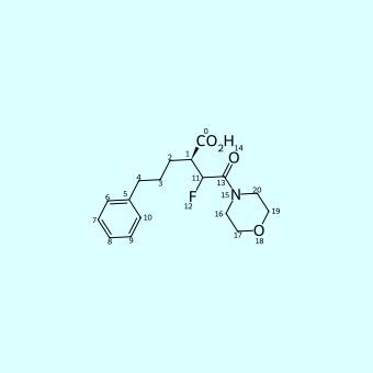 O=C(O)[C@H](CCCc1ccccc1)C(F)C(=O)N1CCOCC1